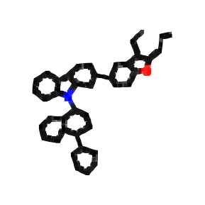 C=C/C=c1/oc2ccc(-c3ccc4c5ccccc5n(-c5ccc(-c6ccccc6)c6ccccc56)c4c3)cc2/c1=C/C